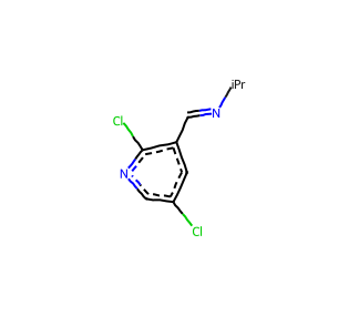 CC(C)/N=C/c1cc(Cl)cnc1Cl